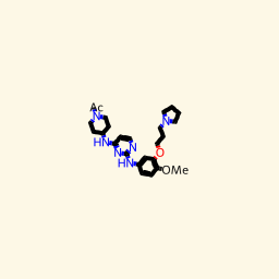 COc1ccc(Nc2nccc(NC3CCN(C(C)=O)CC3)n2)cc1OCCCN1CCCC1